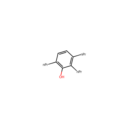 CCCc1ccc(CCC)c(CCC)c1O